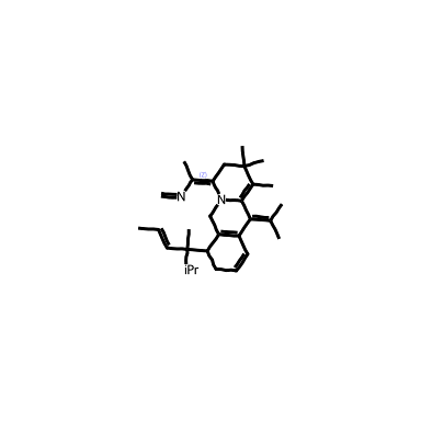 C=N/C(C)=C1/CC(C)(C)C(C)=C2C(=C(C)C)C3=C(CN21)C(C(C)(C=CC)C(C)C)CC=C3